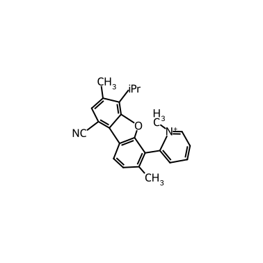 Cc1ccc2c(oc3c(C(C)C)c(C)cc(C#N)c32)c1-c1cccc[n+]1C